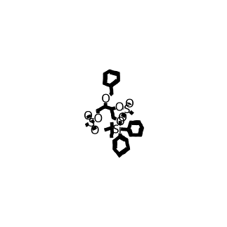 CC(C)(C)[Si](OCC(OS(C)(=O)=O)C(COS(C)(=O)=O)OCc1ccccc1)(c1ccccc1)c1ccccc1